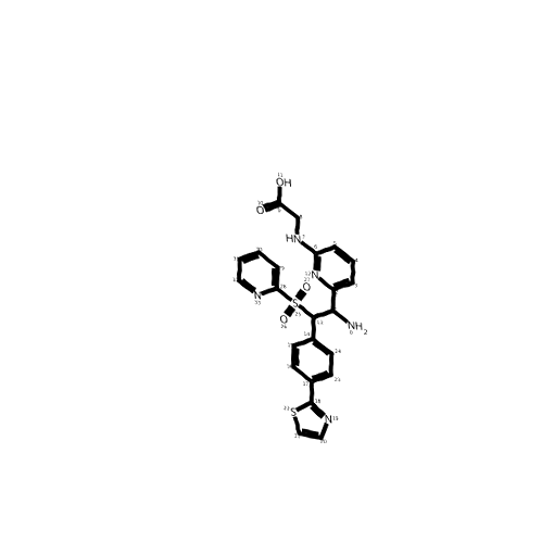 NC(c1cccc(NCC(=O)O)n1)C(c1ccc(-c2nccs2)cc1)S(=O)(=O)c1ccccn1